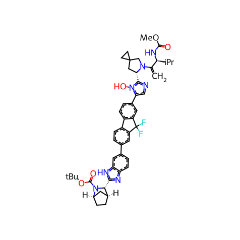 C=C([C@@H](NC(=O)OC)C(C)C)N1CC2(CC2)C[C@H]1c1ncc(-c2ccc3c(c2)C(F)(F)c2cc(-c4ccc5nc([C@@H]6[C@H]7CC[C@H](C7)N6C(=O)OC(C)(C)C)[nH]c5c4)ccc2-3)n1O